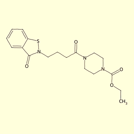 CCOC(=O)N1CCN(C(=O)CCCn2sc3ccccc3c2=O)CC1